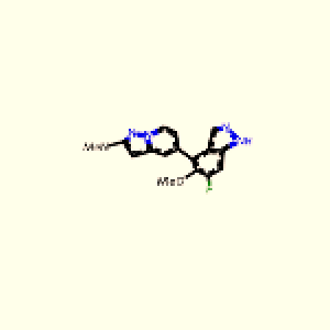 CNc1cc2cc(-c3c(OC)c(F)cc4[nH]ncc34)ccn2n1